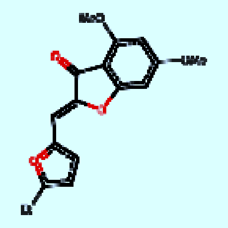 CCc1ccc(/C=C2\Oc3cc(OC)cc(OC)c3C2=O)o1